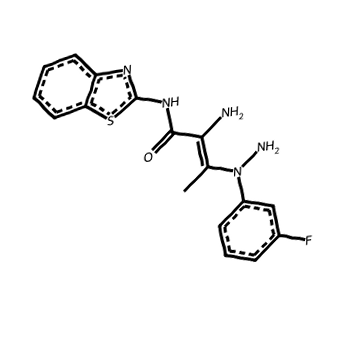 C/C(=C(/N)C(=O)Nc1nc2ccccc2s1)N(N)c1cccc(F)c1